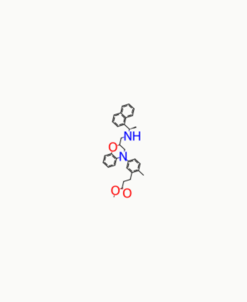 COC(=O)CCc1cc(N2CC(CN[C@H](C)c3cccc4ccccc34)Oc3ccccc32)ccc1C